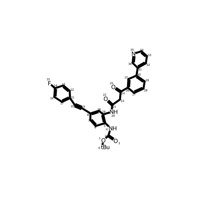 CC(C)(C)OC(=O)Nc1ccc(C#Cc2ccc(F)cc2)cc1NC(=O)CC(=O)c1cccc(-c2cccnc2)c1